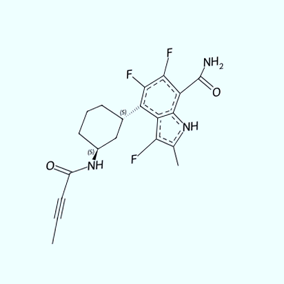 CC#CC(=O)N[C@H]1CCC[C@H](c2c(F)c(F)c(C(N)=O)c3[nH]c(C)c(F)c23)C1